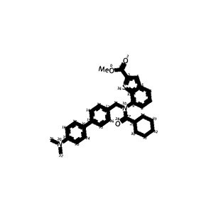 COC(=O)c1cc2cccc(N(Cc3ccc(-c4ccc(N(C)C)cc4)cc3)C(=O)C3CCCCC3)c2s1